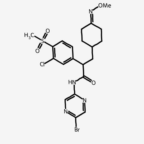 CON=C1CCC(CC(C(=O)Nc2cnc(Br)cn2)c2ccc(S(C)(=O)=O)c(Cl)c2)CC1